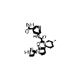 C[C@@H]1CC[C@@H](c2ccn(-c3cc[nH]n3)n2)N(C(=O)C(=O)Nc2cncc(C(N)=O)c2)C1